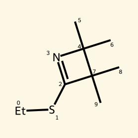 CCSC1=NC(C)(C)C1(C)C